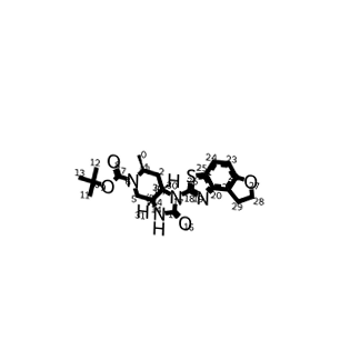 C[C@H]1C[C@@H]2[C@H](CN1C(=O)OC(C)(C)C)NC(=O)N2c1nc2c3c(ccc2s1)OCC3